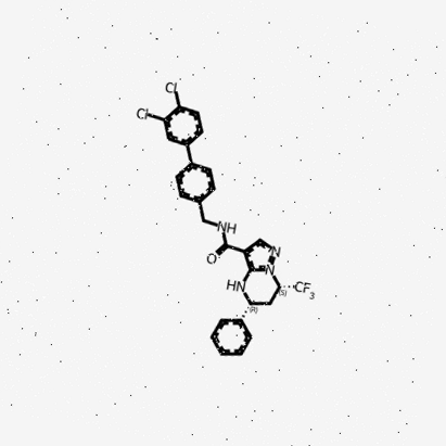 O=C(NCc1ccc(-c2ccc(Cl)c(Cl)c2)cc1)c1cnn2c1N[C@@H](c1ccccc1)C[C@H]2C(F)(F)F